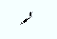 [C]=NC#N